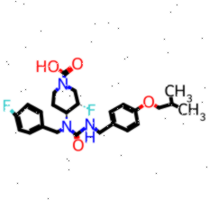 CC(C)COc1ccc(CNC(=O)N(Cc2ccc(F)cc2)[C@@H]2CCN(C(=O)O)C[C@@H]2F)cc1